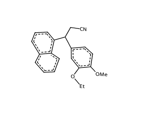 CCOc1cc(C(CC#N)c2cccc3ccccc23)ccc1OC